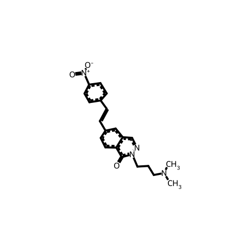 CN(C)CCCn1ncc2cc(C=Cc3ccc([N+](=O)[O-])cc3)ccc2c1=O